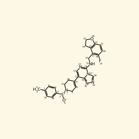 Cc1ccc([S+]([O-])N2CC=C(c3cnc(NCc4c(F)ccc5c4CCO5)n4cnnc34)CC2)cc1